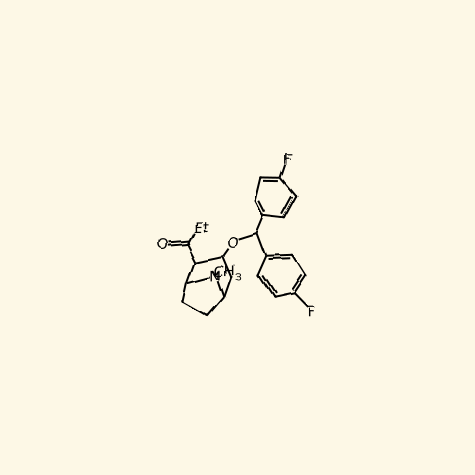 CCC(=O)C1C(OC(c2ccc(F)cc2)c2ccc(F)cc2)CC2CCC1N2C